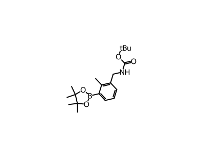 Cc1c(CNC(=O)OC(C)(C)C)cccc1B1OC(C)(C)C(C)(C)O1